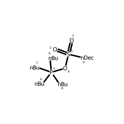 CCCCCCCCCCS(=O)(=O)OP(CCCC)(CCCC)(CCCC)CCCC